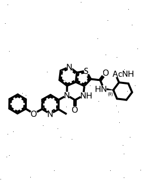 CC(=O)NC1CCCC[C@H]1NC(=O)c1sc2nccc3c2c1NC(=O)N3c1ccc(Oc2ccccc2)nc1C